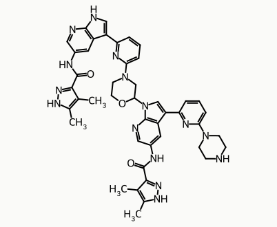 Cc1[nH]nc(C(=O)Nc2cnc3[nH]cc(-c4cccc(N5CCOC(n6cc(-c7cccc(N8CCNCC8)n7)c7cc(NC(=O)c8n[nH]c(C)c8C)cnc76)C5)n4)c3c2)c1C